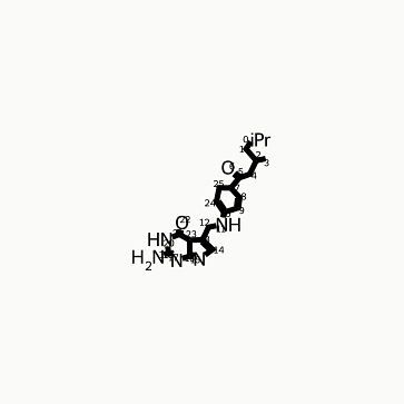 CC(C)CC(C)CC(=O)C1C=CC(NCC2=CN=C3N=C(N)NC(=O)C23)=CC1